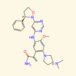 C=C(C(N)=O)c1cc(Nc2cc(N3OCC[C@@H]3c3ccccc3)ncn2)c(OC)cc1N1CC[C@@H](N(C)C)C1